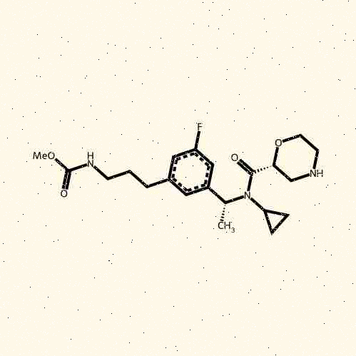 COC(=O)NCCCc1cc(F)cc([C@@H](C)N(C(=O)[C@H]2CNCCO2)C2CC2)c1